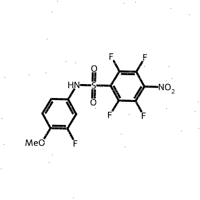 COc1ccc(NS(=O)(=O)c2c(F)c(F)c([N+](=O)[O-])c(F)c2F)cc1F